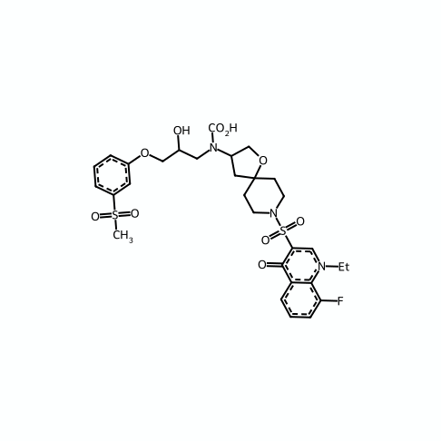 CCn1cc(S(=O)(=O)N2CCC3(CC2)CC(N(CC(O)COc2cccc(S(C)(=O)=O)c2)C(=O)O)CO3)c(=O)c2cccc(F)c21